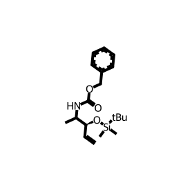 C=C[C@H](O[Si](C)(C)C(C)(C)C)C(C)NC(=O)OCc1ccccc1